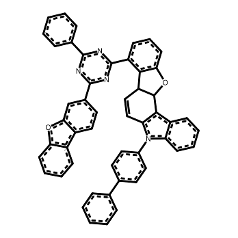 C1=CC2c3c(cccc3-c3nc(-c4ccccc4)nc(-c4ccc5c(c4)oc4ccccc45)n3)OC2c2c1n(-c1ccc(-c3ccccc3)cc1)c1ccccc21